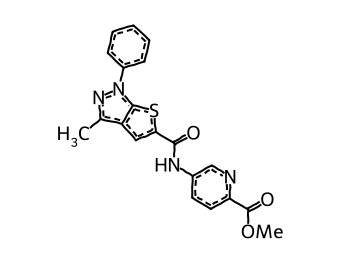 COC(=O)c1ccc(NC(=O)c2cc3c(C)nn(-c4ccccc4)c3s2)cn1